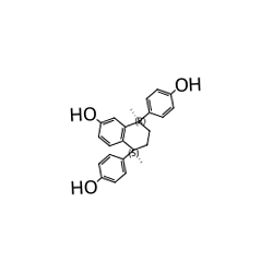 C[C@@]1(c2ccc(O)cc2)CC[C@](C)(c2ccc(O)cc2)c2cc(O)ccc21